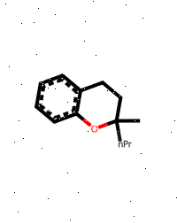 CCCC1(C)CCc2ccccc2O1